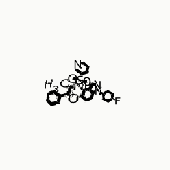 C[C@H](NS(=O)(=O)c1cccnc1)[C@H](Oc1ccc2c(cnn2-c2ccc(F)cc2)c1)c1ccccc1